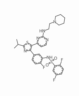 CC(C)c1nc(-c2ccc(F)c(NS(=O)(=O)c3cc(F)ccc3F)c2)c(-c2ccnc(NCCN3CCCCC3)n2)s1